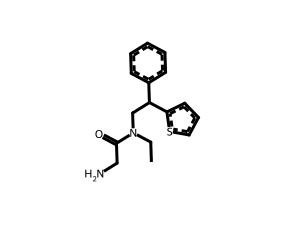 CCN(CC(c1ccccc1)c1cccs1)C(=O)CN